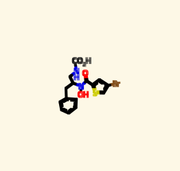 O=C(O)NCC(Cc1ccccc1)N(O)C(=O)c1cc(Br)cs1